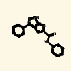 O=C(Nc1ccccc1)c1cc2c(-c3ccccc3)n[nH]c2s1